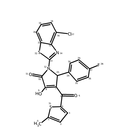 Cc1ccc(C(=O)C2=C(O)C(=O)N(c3nc4c(Cl)cccc4s3)C2c2ccc(F)cc2)s1